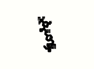 CCS(=O)(=O)NC(C)(C)CN1CCC(CNC(=O)c2cc(F)cc(C(F)(F)F)c2)CC1